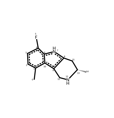 Cc1ccc(F)c2[nH]c3c(c12)CN[C@@H](C)C3